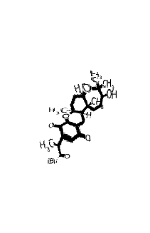 CC[C@@H](C)C(=O)[C@@H](C)C1=CC(=O)C2=C(O[C@@]3(C)CC[C@H]4OC(C)(C)[C@@H](O)CC[C@]4(C)[C@H]3C2)C1=O